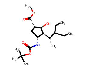 CCC(CC)[C@H](C)[C@@H]1[C@H](O)[C@@H](C(=O)OC)C[C@H]1NC(=O)OC(C)(C)C